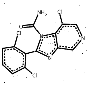 NC(=O)n1c(-c2c(Cl)cccc2Cl)nc2[c]ncc(Cl)c21